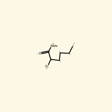 CCC(CCCI)C(=O)NC